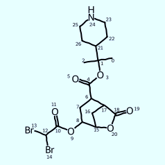 CC(C)(OC(=O)C1CC(OC(=O)C(Br)Br)C2CC1C(=O)O2)C1CCNCC1